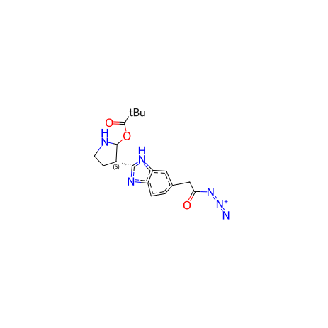 CC(C)(C)C(=O)OC1NCC[C@H]1c1nc2ccc(CC(=O)N=[N+]=[N-])cc2[nH]1